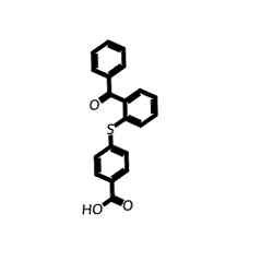 O=C(O)c1ccc(Sc2ccccc2C(=O)c2ccccc2)cc1